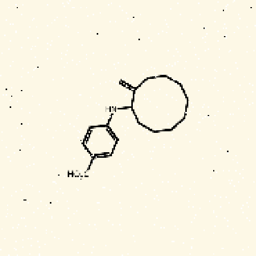 C=C1CCCCCCCCC1Nc1ccc(C(=O)O)cc1